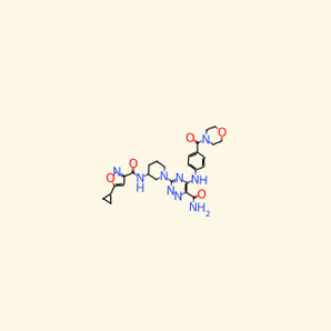 NC(=O)c1nnc(N2CCCC(NC(=O)c3cc(C4CC4)on3)C2)nc1Nc1ccc(C(=O)N2CCOCC2)cc1